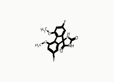 COc1cc(F)cc2c1-c1c(OC)cc(F)cc1C21NC(=O)NC1=O